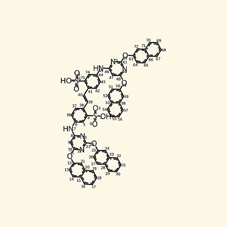 O=S(=O)(O)c1cc(Nc2cc(Oc3ccc4ccccc4c3)nc(Oc3ccc4ccccc4c3)n2)ccc1/C=C/c1ccc(Nc2cc(Oc3ccc4ccccc4c3)nc(Oc3ccc4ccccc4c3)n2)cc1S(=O)(=O)O